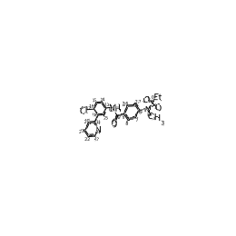 CCS(=O)(=O)N(C)c1ccc(C(=O)Nc2ccc(Cl)c(-c3ccccn3)c2)cc1